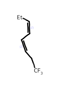 CC/C=C\C=C/CC(F)(F)F